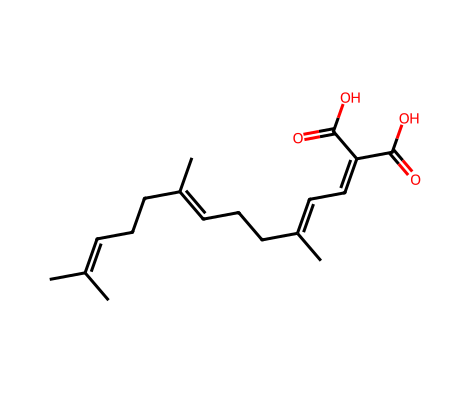 CC(C)=CCCC(C)=CCCC(C)=CC=C(C(=O)O)C(=O)O